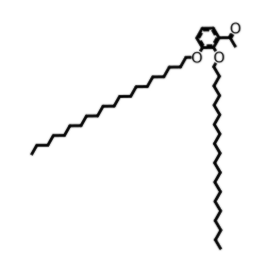 CCCCCCCCCCCCCCCCCCCCOc1cccc(C(C)=O)c1OCCCCCCCCCCCCCCCCCCCC